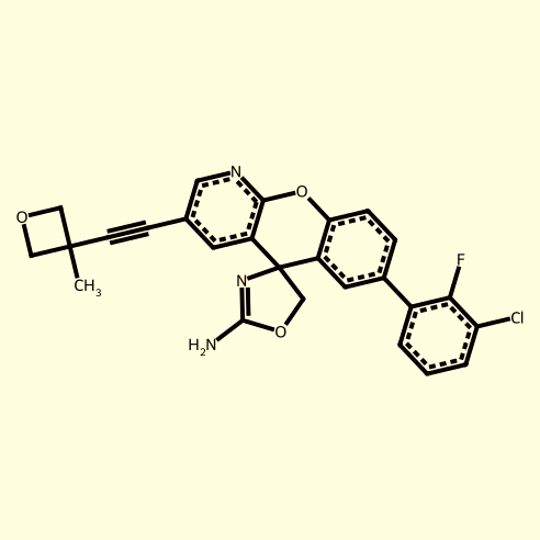 CC1(C#Cc2cnc3c(c2)C2(COC(N)=N2)c2cc(-c4cccc(Cl)c4F)ccc2O3)COC1